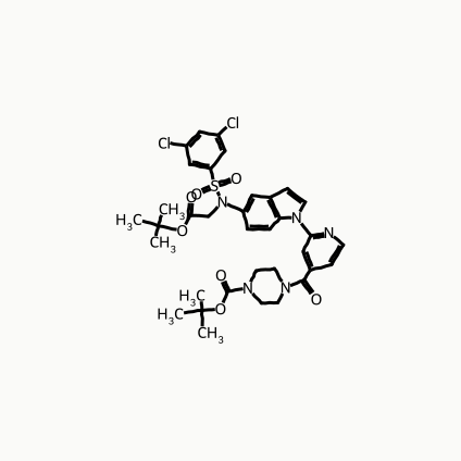 CC(C)(C)OC(=O)CN(c1ccc2c(ccn2-c2cc(C(=O)N3CCN(C(=O)OC(C)(C)C)CC3)ccn2)c1)S(=O)(=O)c1cc(Cl)cc(Cl)c1